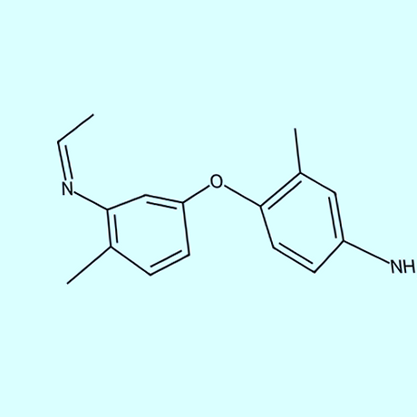 C/C=N\c1cc(Oc2ccc(N)cc2C)ccc1C